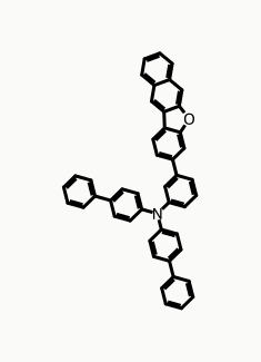 c1ccc(-c2ccc(N(c3ccc(-c4ccccc4)cc3)c3cccc(-c4ccc5c(c4)oc4cc6ccccc6cc45)c3)cc2)cc1